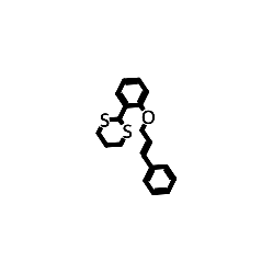 C(=Cc1ccccc1)COc1ccccc1C1SCCCS1